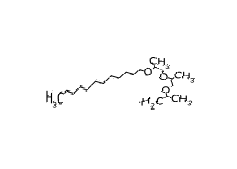 [CH2]C(C)OCC(C)OCC(C)OCCCCCCCCCCCC